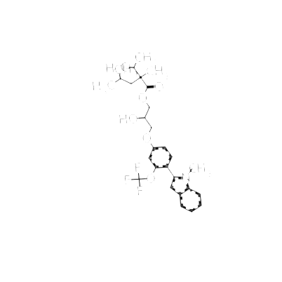 CC(C)CC(C)(C(=O)OCC(O)COc1ccc(-c2cc3ccccc3n2C)c(OC(F)(F)F)c1)C(C)C